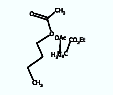 CCCCOC(C)=O.CCOC(C)=O.COC(C)=O